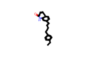 CCc1ccc(CCCCc2ccc3c(c2)NC(=O)CC3)cc1